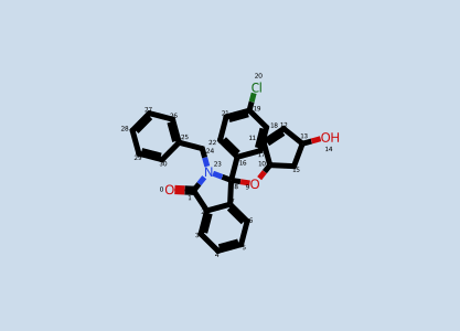 O=C1c2ccccc2C(OC2C=CC(O)C2)(c2ccc(Cl)cc2)N1Cc1ccccc1